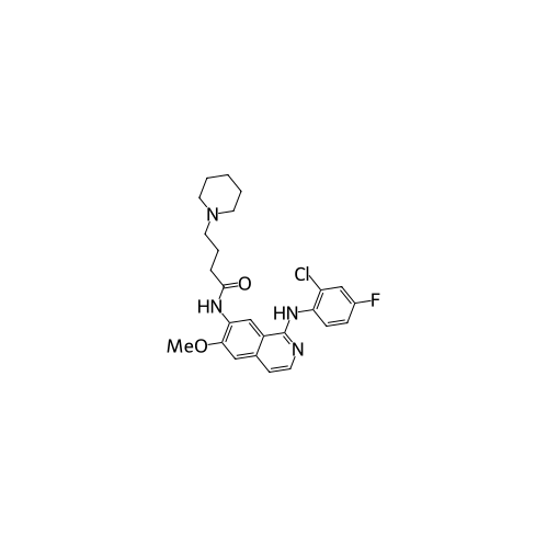 COc1cc2ccnc(Nc3ccc(F)cc3Cl)c2cc1NC(=O)CCCN1CCCCC1